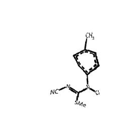 CSC(=NC#N)N(Cl)c1ccc(C)cc1